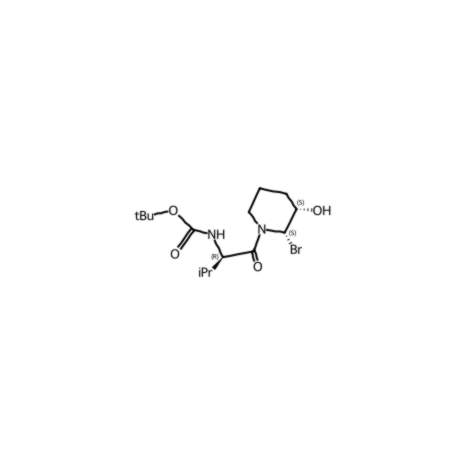 CC(C)[C@@H](NC(=O)OC(C)(C)C)C(=O)N1CCC[C@H](O)[C@@H]1Br